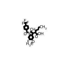 CCCCC(C(=O)O)c1c(C)n(C(=O)c2ccc(C(F)(F)F)cc2)c2cc(F)c(OC)cc12